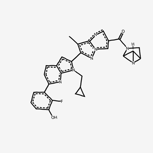 Cc1c(-c2cc3ccc(-c4cccc(O)c4F)nc3n2CC2CC2)nn2cc(C(=O)N3CC4[C@@H]5C3N45)cnc12